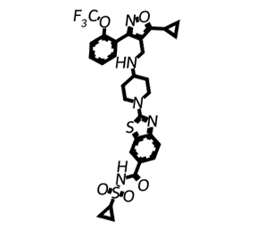 O=C(NS(=O)(=O)C1CC1)c1ccc2nc(N3CCC(NCc4c(-c5ccccc5OC(F)(F)F)noc4C4CC4)CC3)sc2c1